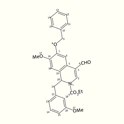 CCOC(=O)N1C=C(C=O)c2cc(OCc3ccccc3)c(OC)cc2C1Cc1cccc(OC)c1